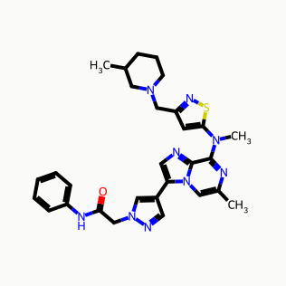 Cc1cn2c(-c3cnn(CC(=O)Nc4ccccc4)c3)cnc2c(N(C)c2cc(CN3CCCC(C)C3)ns2)n1